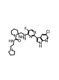 N[C@]1(CNc2nc(-c3c[nH]c4ncc(Cl)cc34)ncc2F)CCCCN1C(=O)NCCN1CCCC1